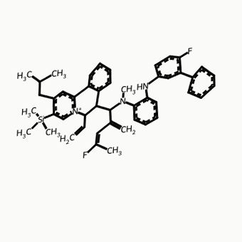 C=CC1C(C(C(=C)/C=C(\C)F)N(C)c2ccccc2Nc2ccc(F)c(-c3ccccc3)c2)c2ccccc2-c2cc(CC(C)C)c([Si](C)(C)C)c[n+]21